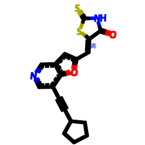 O=C1NC(=S)S/C1=C\c1cc2cncc(C#CC3CCCC3)c2o1